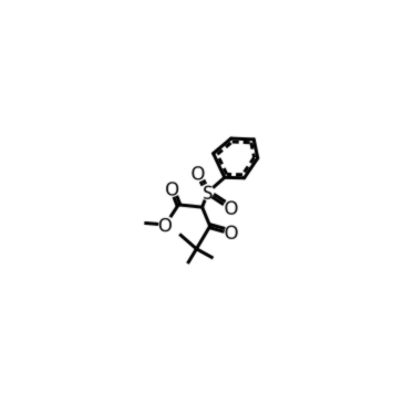 COC(=O)C(C(=O)C(C)(C)C)S(=O)(=O)c1ccccc1